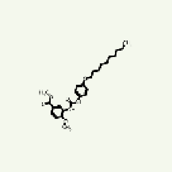 CCCCCCCCCCOc1ccc(NC(=O)Nc2cc(C(=O)OC)ccc2OC)cc1